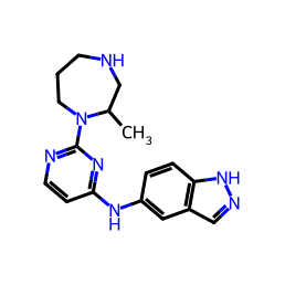 CC1CNCCCN1c1nccc(Nc2ccc3[nH]ncc3c2)n1